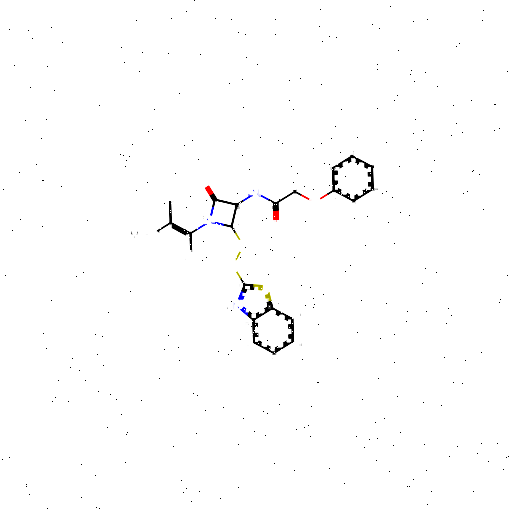 CO/C(C)=C(\C(=O)O)N1C(=O)C(NC(=O)COc2ccccc2)C1SSc1nc2ccccc2s1